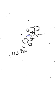 CCC/N=C1\N(c2ccccc2C)C(=O)/C(=C/c2ccc(OC[C@H](O)CO)c(Cl)c2)[S+]1[O-]